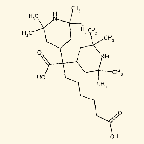 CC1(C)CC(C(CCCCCC(=O)O)(C(=O)O)C2CC(C)(C)NC(C)(C)C2)CC(C)(C)N1